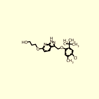 Cc1cc(OCc2n[nH]c3nc(OCCCO)ccc23)c(C(C)(C)C)cc1Cl